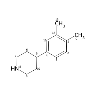 Cc1ccc(C2CCNCC2)cc1C